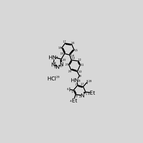 CCc1nc(CC)c(I)c(NCc2ccc(-c3ccccc3-c3nnn[nH]3)cc2)c1I.Cl